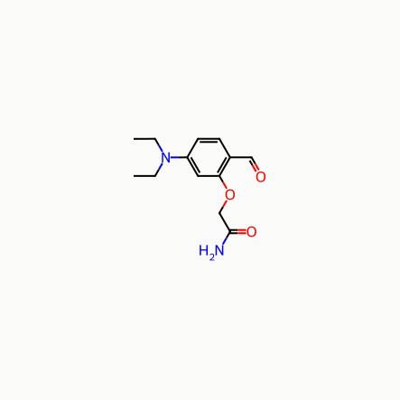 CCN(CC)c1ccc(C=O)c(OCC(N)=O)c1